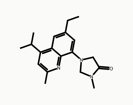 CCc1cc(N2CC(=O)N(C)C2)c2nc(C)cc(C(C)C)c2c1